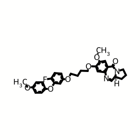 COc1ccc(Oc2cc(OCCCCOc3cc4c(cc3OC)C(=O)N3CCC[C@H]3C=N4)ccc2F)cc1